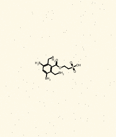 BCc1c(B)cc(B)c(CB)c1C(=O)OCCS(=O)(=O)O